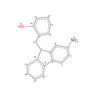 O=[N+]([O-])c1ccc2c(c1)C(Cc1ccccc1O)c1ccccc1-2